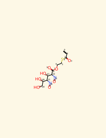 C=CC(=O)SCCOC(=O)C(N=O)C(O)C(N=O)C(O)CO